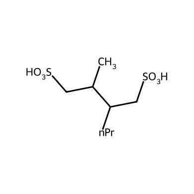 CCCC(CS(=O)(=O)O)C(C)CS(=O)(=O)O